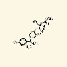 CCCN1C=NC(CC(C)C)(OC(=O)OC)C1CC1CCC(C(c2ccc(Cl)cc2)N(C)C)CC1